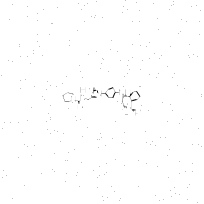 CCC(=O)N1c2ccccc2[C@H](Nc2ccc(-n3cc(CNC(=O)N4CCCCC4)nn3)cc2)C[C@@H]1C